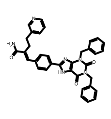 NC(=O)/C(=C/c1ccc(-c2nc3c([nH]2)c(=O)n(Cc2ccccc2)c(=O)n3Cc2ccccc2)cc1)CCc1cccnc1